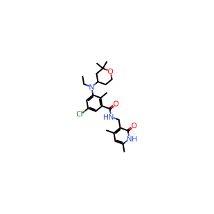 CCN(c1cc(Cl)cc(C(=O)NCc2c(C)cc(C)[nH]c2=O)c1C)C1CCOC(C)(C)C1